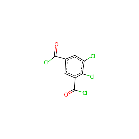 O=C(Cl)c1cc(Cl)c(Cl)c(C(=O)Cl)c1